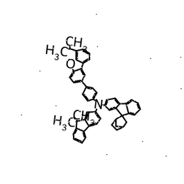 CC(C)c1cccc2c1oc1ccc(-c3ccc(N(c4ccc5c(c4)C(C)(C)c4ccccc4-5)c4ccc5c(c4)C4(CC6CCC4C6)c4ccccc4-5)cc3)cc12